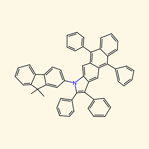 CC1(C)c2ccccc2-c2ccc(-n3c(-c4ccccc4)c(-c4ccccc4)c4cc5c(-c6ccccc6)c6ccccc6c(-c6ccccc6)c5cc43)cc21